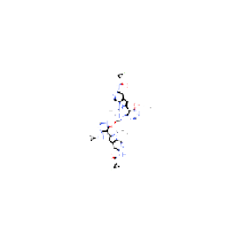 COc1ncnc(NCCOc2ncnc(NC3CC3)c2-c2cc3cc(NC(=O)[C@@H]4C[C@@H]4F)ncc3n2C)c1-c1cc2cc(NC(=O)[C@@H]3C[C@@H]3F)ncc2n1C